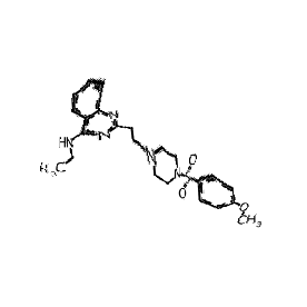 CCNc1nc(CCN2CCN(S(=O)(=O)c3ccc(OC)cc3)CC2)nc2ccccc12